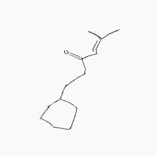 CC(C)=CC(=O)CCC1CCCCC1